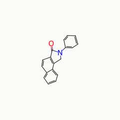 O=C1c2ccc3ccccc3c2CN1c1ccccc1